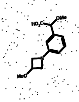 COC1CN(c2cccc(C(OC)C(=O)O)c2)C1